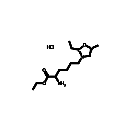 CCOC(=O)C(N)CCCCN1CN(C)OP1CC.Cl